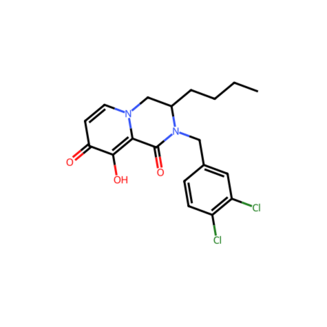 CCCCC1Cn2ccc(=O)c(O)c2C(=O)N1Cc1ccc(Cl)c(Cl)c1